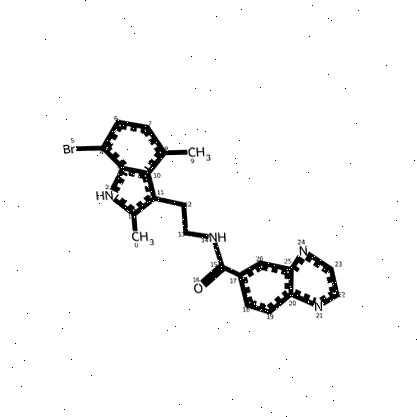 Cc1[nH]c2c(Br)ccc(C)c2c1CCNC(=O)c1ccc2nccnc2c1